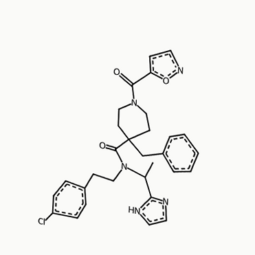 CC(c1ncc[nH]1)N(CCc1ccc(Cl)cc1)C(=O)C1(Cc2ccccc2)CCN(C(=O)c2ccno2)CC1